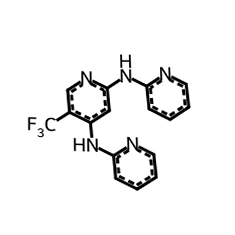 FC(F)(F)c1cnc(Nc2ccccn2)cc1Nc1ccccn1